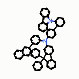 c1ccc(C2(c3ccccc3)c3ccccc3-c3ccc(N(c4ccc(-c5ccccc5-n5c6ccccc6c6ccccc65)cc4)c4cccc(-c5ccc6ccccc6c5)c4)cc32)cc1